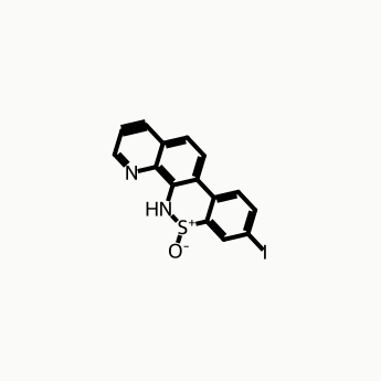 [O-][S+]1Nc2c(ccc3c#ccnc23)-c2ccc(I)cc21